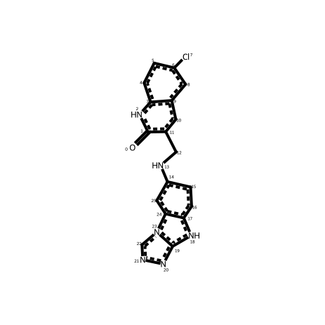 O=c1[nH]c2ccc(Cl)cc2cc1CNc1ccc2[nH]c3nncn3c2c1